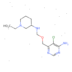 Nc1ncnc(COCNC2CCCN(CC(=O)O)C2)c1Cl